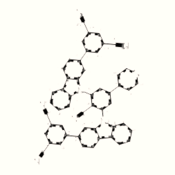 N#Cc1cc(C#N)cc(-c2ccc3c4ccccc4n(-c4cc(-c5ccncc5)cc(-n5c6ccccc6c6ccc(-c7cc(C#N)cc(C#N)c7)cc65)c4C#N)c3c2)c1